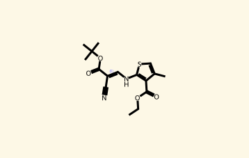 CCOC(=O)c1c(C)csc1N/C=C(\C#N)C(=O)OC(C)(C)C